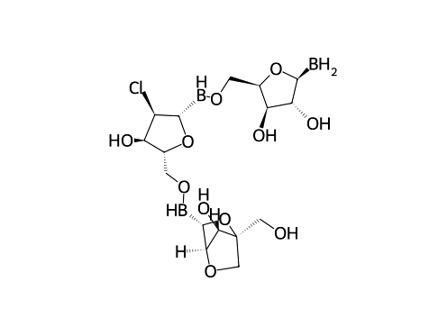 B[C@@H]1O[C@H](COB[C@@H]2O[C@H](COB[C@@H]3O[C@@]4(CO)CO[C@@H]3[C@@H]4O)[C@@H](O)[C@H]2Cl)[C@H](O)[C@H]1O